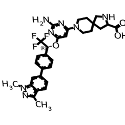 Cc1nn(C)c2cc(-c3ccc([C@@H](Oc4cc(N5CCC6(CC5)CNC(C(=O)O)C6)nc(N)n4)C(F)(F)F)cc3)ccc12